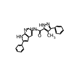 Cc1c(-c2ccccc2)n[nH]c1C(=O)Nc1cnc2[nH]c(-c3ccccc3)cc2c1